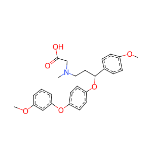 COc1ccc(C(CCN(C)CC(=O)O)Oc2ccc(Oc3cccc(OC)c3)cc2)cc1